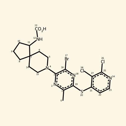 Cc1nc(N2CCC3(CCCC3NC(=O)O)CC2)c(Br)nc1Sc1ccnc(Cl)c1Cl